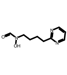 O=CN(O)CCCCc1ncccn1